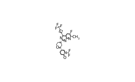 Cc1nc2nc([C@H]3CCO[C@@H](c4ccc(=O)n(C(F)F)c4)C3)nc(C34CC(C(F)(F)F)(C3)C4)c2cc1F